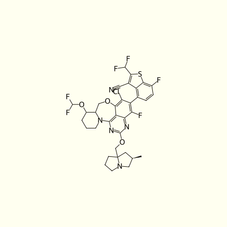 C[C@H]1CN2CCCC2(COc2nc3c4c(c(Cl)c(-c5ccc(F)c6sc(C(F)F)c(C#N)c56)c(F)c4n2)OCC2C(OC(F)F)CCCN32)C1